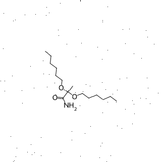 CCCCCCOC(C)(OCCCCCC)C(N)=O